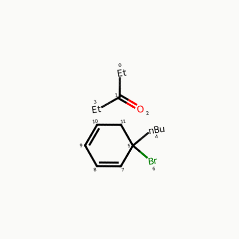 CCC(=O)CC.CCCCC1(Br)C=CC=CC1